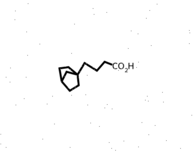 O=C(O)CCCC12CCC(CC1)C2